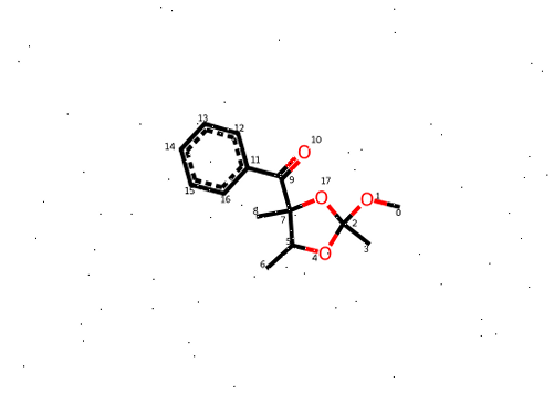 COC1(C)OC(C)C(C)(C(=O)c2ccccc2)O1